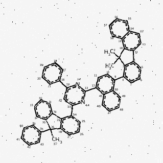 CC1(C)c2c(cccc2-c2ccc(-c3nc(-c4ccccc4)cc(-c4cccc5c4-c4ccccc4C5(C)c4ccccc4)n3)c3ccccc23)-c2ccc3ccccc3c21